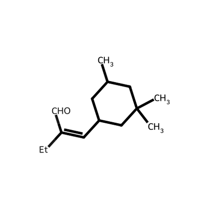 CCC(C=O)=CC1CC(C)CC(C)(C)C1